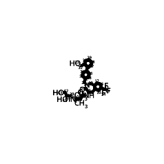 CC(C)(CC(=O)N[C@@H]1Cc2cc(C(F)(F)F)ccc2CN(Cc2ccc(-c3ccccc3CO)cc2)C1=O)NC[C@H](O)CO